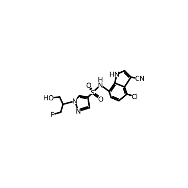 N#Cc1c[nH]c2c(NS(=O)(=O)c3cnn(C(CO)CF)c3)ccc(Cl)c12